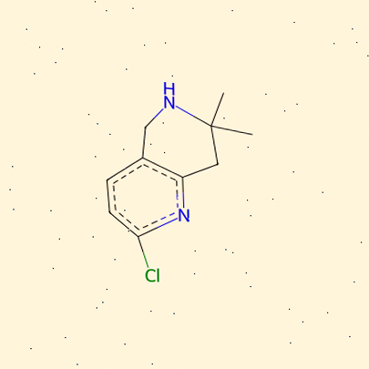 CC1(C)Cc2nc(Cl)ccc2CN1